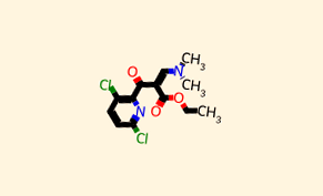 CCOC(=O)C(=CN(C)C)C(=O)c1nc(Cl)ccc1Cl